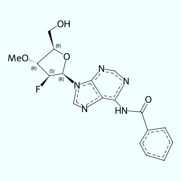 CO[C@H]1[C@H](F)[C@H](n2cnc3c(NC(=O)c4ccccc4)ncnc32)O[C@@H]1CO